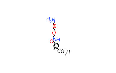 Cc1cc(C(=O)NCCOCCOCCN)ccc1C(=O)O